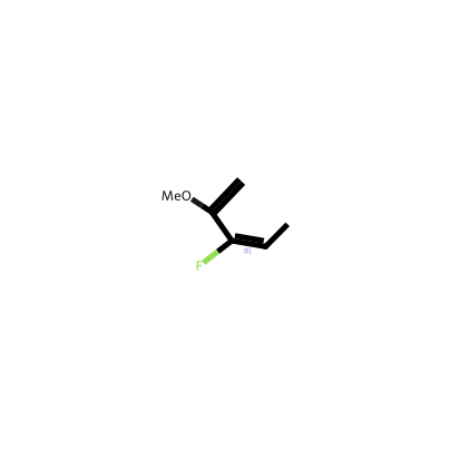 C=C(OC)/C(F)=C\C